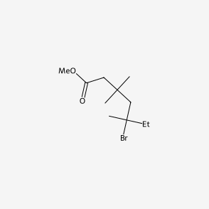 CCC(C)(Br)CC(C)(C)CC(=O)OC